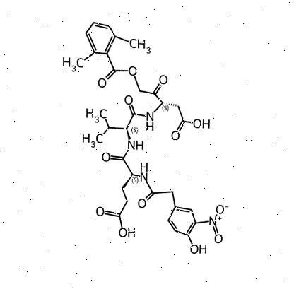 Cc1cccc(C)c1C(=O)OCC(=O)[C@H](CC(=O)O)NC(=O)[C@@H](NC(=O)[C@H](CCC(=O)O)NC(=O)Cc1ccc(O)c([N+](=O)[O-])c1)C(C)C